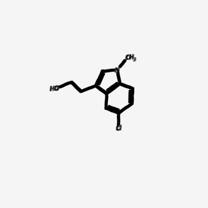 Cn1cc(CCO)c2cc(Cl)ccc21